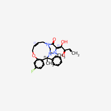 C=CC(=O)/C(O)=C1/C(=O)N2C/C=C\COc3cc(F)ccc3[C@@](C)(c3ccccc3)[N@@](C2)N1C